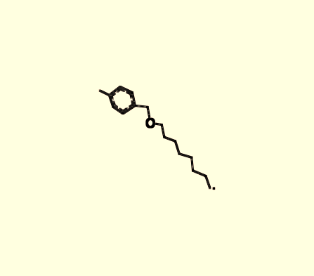 [CH2]CCCCCCCOCc1ccc(C)cc1